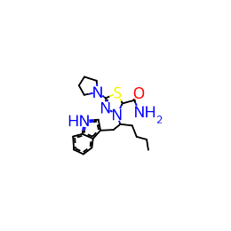 CCCCC(Cc1c[nH]c2ccccc12)N1N=C(N2CCCC2)SC1C(N)=O